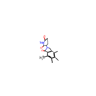 Bc1c(C)c(C)c(C)c2c1C(=O)N(C1CCC(=O)NC1=O)C2